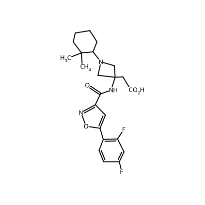 CC1(C)CCCCC1N1CC(CC(=O)O)(NC(=O)c2cc(-c3ccc(F)cc3F)on2)C1